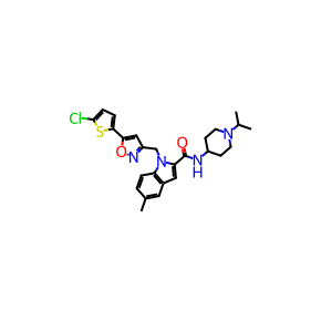 Cc1ccc2c(c1)cc(C(=O)NC1CCN(C(C)C)CC1)n2Cc1cc(-c2ccc(Cl)s2)on1